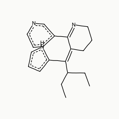 CCC(CC)C(=C1CCCN=C1c1cccnc1)c1ccc[nH]1